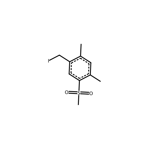 Cc1cc(C)c(S(C)(=O)=O)cc1CI